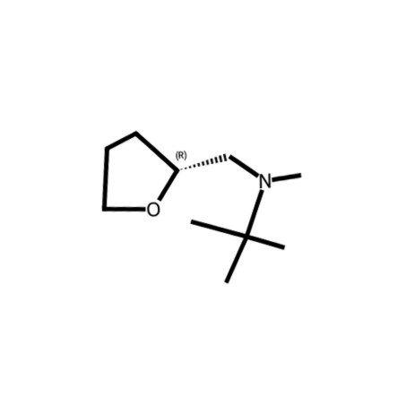 CN(C[C@H]1CCCO1)C(C)(C)C